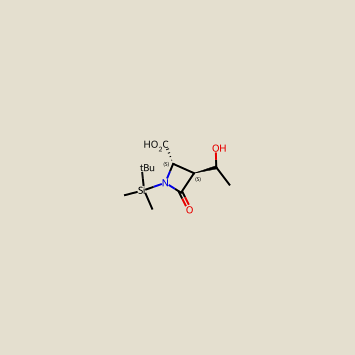 CC(O)[C@H]1C(=O)N([Si](C)(C)C(C)(C)C)[C@@H]1C(=O)O